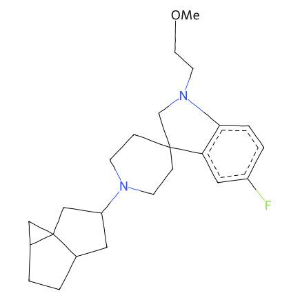 COCCN1CC2(CCN(C3CC4CCC5CC45C3)CC2)c2cc(F)ccc21